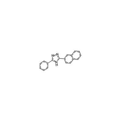 c1ccc(-c2nnc(-c3ccc4ccccc4c3)[nH]2)cc1